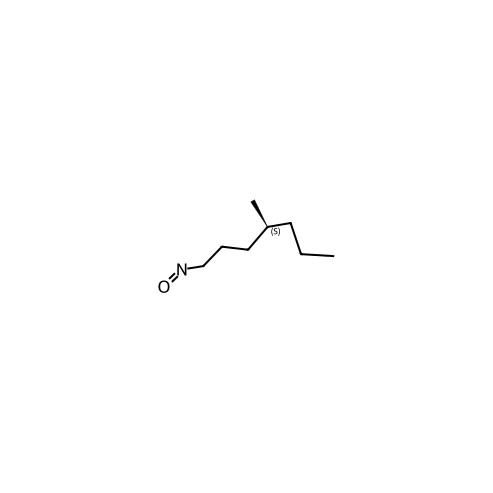 CCC[C@H](C)CCCN=O